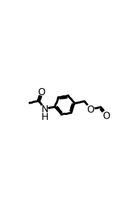 CC(=O)Nc1ccc(COC=O)cc1